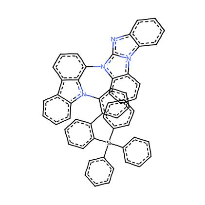 c1ccc([Si](c2ccccc2)(c2ccccc2)c2ccccc2-c2ccccc2-n2c3ccccc3c3cccc(-n4c5ccccc5n5c6ccccc6nc45)c32)cc1